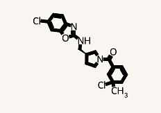 CC1(Cl)C=C(C(=O)N2CC[C@@H](CNc3nc4ccc(Cl)cc4o3)C2)C=CC1